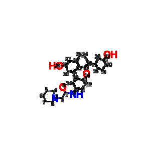 O=C(CN1CCCCC1)Nc1ccc(Oc2c(-c3cccc(O)c3)ccc3cc(O)ccc23)cc1